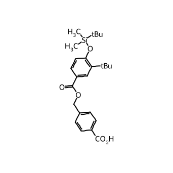 CC(C)(C)c1cc(C(=O)OCc2ccc(C(=O)O)cc2)ccc1O[Si](C)(C)C(C)(C)C